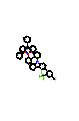 FC(F)(F)c1ccc(-c2ccc3c(c2)c2ccccc2n3-c2cccc(-c3nc(-c4ccccc4)cc(-c4ccccc4)n3)c2-c2ccccc2-n2c3ccccc3c3ccccc32)c(C(F)(F)F)c1